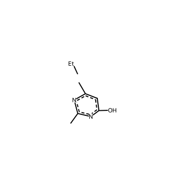 CCC.Cc1cc(O)nc(C)n1